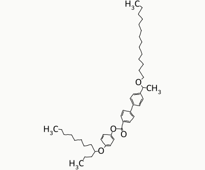 CCCCCCCCCCCCCCOC(C)c1ccc(-c2ccc(C(=O)Oc3ccc(OC(CCC)CCCCCCCC)cc3)cc2)cc1